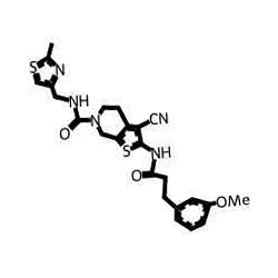 COc1cccc(CCC(=O)Nc2sc3c(c2C#N)CCN(C(=O)NCc2csc(C)n2)C3)c1